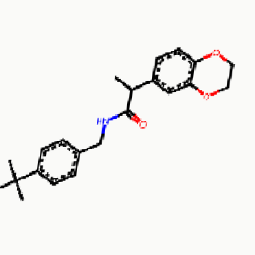 CC(C(=O)NCc1ccc(C(C)(C)C)cc1)c1ccc2c(c1)OCCO2